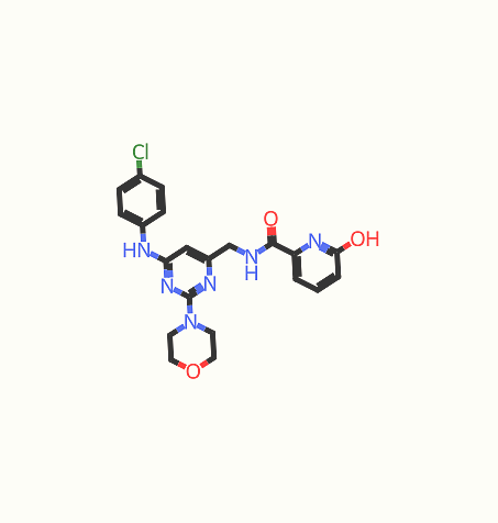 O=C(NCc1cc(Nc2ccc(Cl)cc2)nc(N2CCOCC2)n1)c1cccc(O)n1